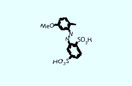 COc1[c]cc(C)c(/N=N/c2cc(S(=O)(=O)O)ccc2S(=O)(=O)O)c1